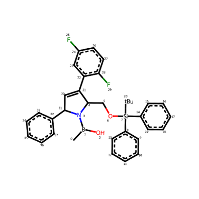 CB(O)N1C(CO[Si](c2ccccc2)(c2ccccc2)C(C)(C)C)C(c2cc(F)ccc2F)=CC1c1ccccc1